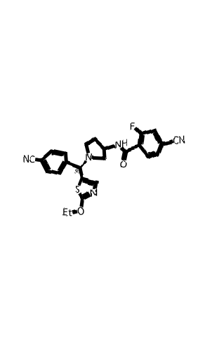 CCOc1ncc([C@@H](c2ccc(C#N)cc2)N2CCC(NC(=O)c3ccc(C#N)cc3F)C2)s1